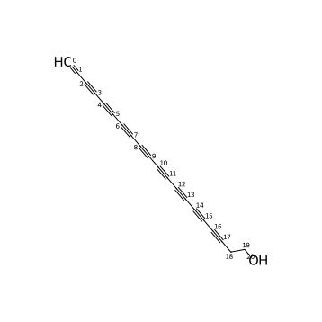 C#CC#CC#CC#CC#CC#CC#CC#CC#CCCO